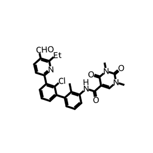 CCc1nc(-c2cccc(-c3cccc(NC(=O)c4cn(C)c(=O)n(C)c4=O)c3C)c2Cl)ccc1C=O